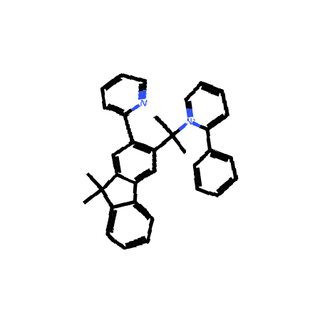 CC1(C)c2ccccc2-c2cc(C(C)(C)[n+]3ccccc3-c3ccccc3)c(-c3ccccn3)cc21